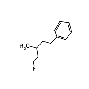 CC(CCF)CCc1[c]cccc1